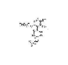 CCOC(=O)Cc1ccc(F)c(C)c1C1CCC(OC2CC2)CC1